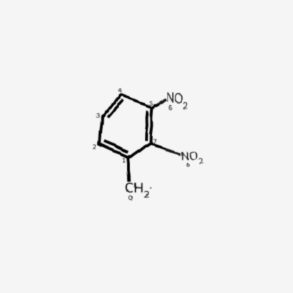 [CH2]c1cccc([N+](=O)[O-])c1[N+](=O)[O-]